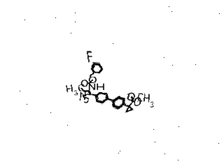 COC(=O)C1(c2ccc(-c3ccc(-c4snc(C)c4NC(=O)OCc4cccc(F)c4)cc3)cc2)CC1